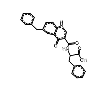 O=C(NC(Cc1ccccc1)C(=O)O)c1c[nH]c2ccc(Cc3ccccc3)cc2c1=O